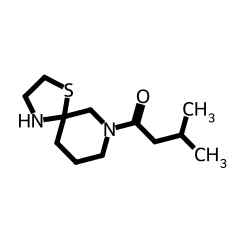 CC(C)CC(=O)N1CCCC2(C1)NCCS2